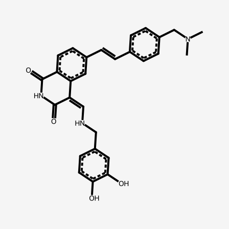 CN(C)Cc1ccc(C=Cc2ccc3c(c2)C(=CNCc2ccc(O)c(O)c2)C(=O)NC3=O)cc1